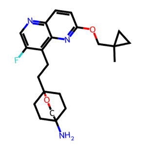 CC1(COc2ccc3ncc(F)c(CCC45CCC(N)(CC4)CO5)c3n2)CC1